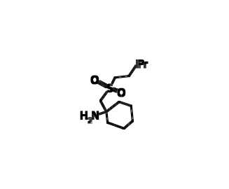 CC(C)CCS(=O)(=O)CC1(N)CCCCC1